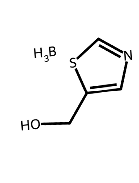 B.OCc1cncs1